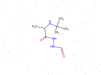 CC(NC(C)(C)C)C(=O)NNC=O